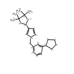 CC1(C)OB(c2cnn(Cc3nccc(C4CCCC4)n3)c2)OC1(C)C